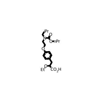 CCCOC(=O)N(CCOc1ccc(CC(OCC)C(=O)O)cc1)CC(C)C